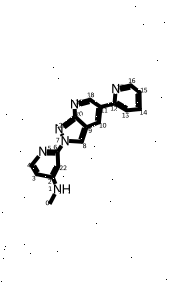 CNc1ccnc(-n2cc3cc(-c4ccccn4)cnc3n2)c1